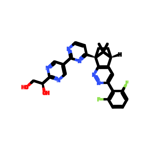 CC1(C)[C@H]2CC[C@]1(c1ccnc(-c3cnc([C@@H](O)CO)nc3)n1)c1nnc(-c3c(F)cccc3F)cc12